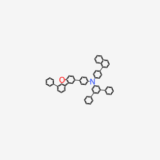 c1ccc(-c2cc(-c3ccccc3)cc(N(c3ccc(-c4ccc5oc6c(-c7ccccc7)cccc6c5c4)cc3)c3ccc(-c4cccc5ccccc45)cc3)c2)cc1